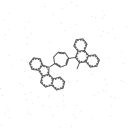 Cc1c(C2=CC=C(n3c4ccccc4c4ccc5ccccc5c43)CC=C2)c2ccccc2c2ccccc12